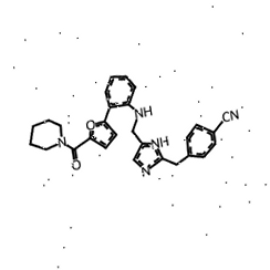 N#Cc1ccc(Cc2ncc(CNc3ccccc3-c3ccc(C(=O)N4CCCCC4)o3)[nH]2)cc1